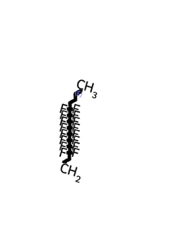 C=CCC(F)(F)C(F)(F)C(F)(F)C(F)(F)C(F)(F)C(F)(F)C(F)(F)C(F)(F)CC/C=C/C